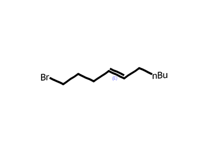 CCCCC/C=C/CCCBr